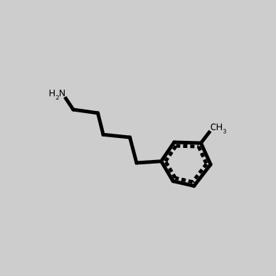 Cc1cccc(CCCCCN)c1